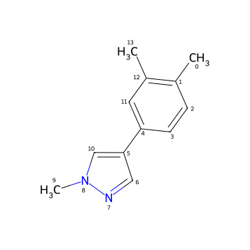 Cc1ccc(-c2cnn(C)c2)cc1C